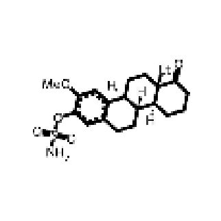 CC[C@]12CC[C@@H]3c4cc(OC)c(OS(N)(=O)=O)cc4CC[C@H]3[C@@H]1CCCC2=O